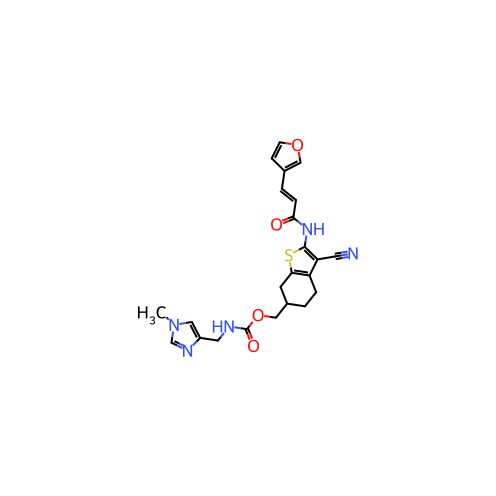 Cn1cnc(CNC(=O)OCC2CCc3c(sc(NC(=O)C=Cc4ccoc4)c3C#N)C2)c1